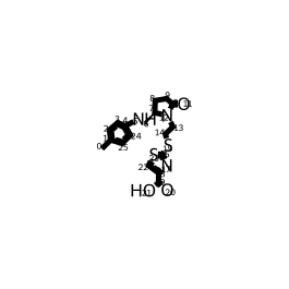 Cc1ccc(NC[C@H]2CCC(=O)N2CCSc2nc(C(=O)O)cs2)cc1